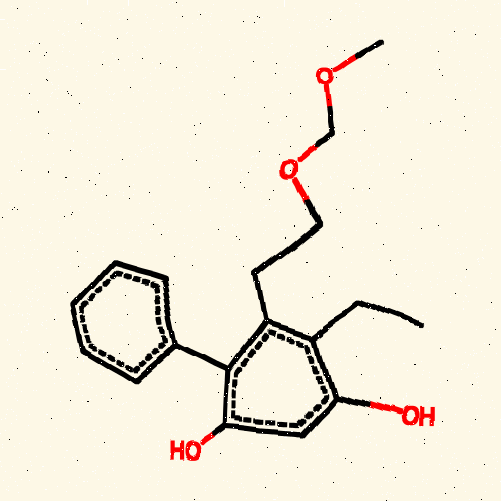 CCc1c(O)cc(O)c(-c2ccccc2)c1CCOCOC